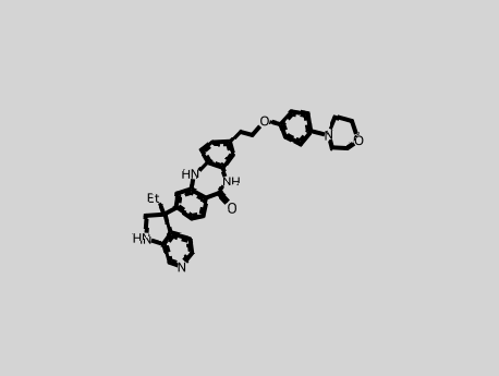 CCC1(c2ccc3c(c2)Nc2ccc(CCOc4ccc(N5CCOCC5)cc4)cc2NC3=O)CNc2cnccc21